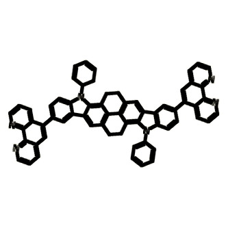 C1=CCC(n2c3ccc(-c4cc5cccnc5c5ncccc45)cc3c3cc4c5c(c32)CCc2cc3c6cc(-c7cc8cccnc8c8ncccc78)ccc6n(-c6ccccc6)c3c(c2-5)CC4)C=C1